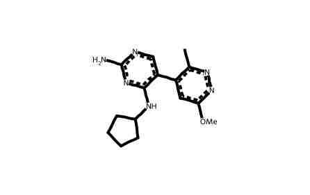 COc1cc(-c2cnc(N)nc2NC2CCCC2)c(C)nn1